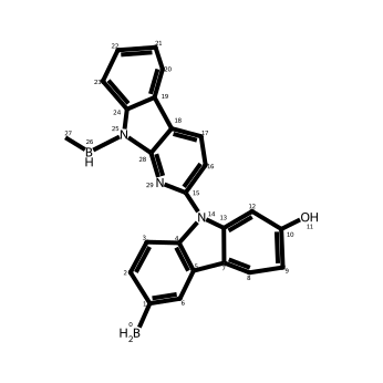 Bc1ccc2c(c1)c1ccc(O)cc1n2-c1ccc2c3ccccc3n(BC)c2n1